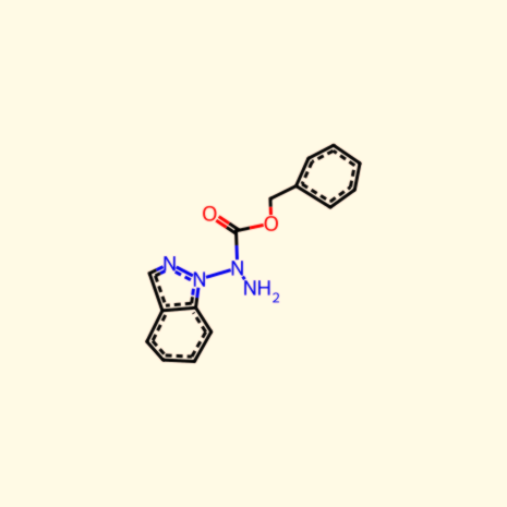 NN(C(=O)OCc1ccccc1)n1ncc2ccccc21